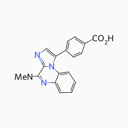 CNc1nc2ccccc2n2c(-c3ccc(C(=O)O)cc3)cnc12